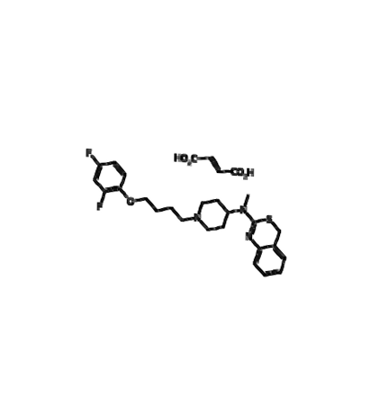 CN(C1=Nc2ccccc2CS1)C1CCN(CCCCOc2ccc(F)cc2F)CC1.O=C(O)C=CC(=O)O